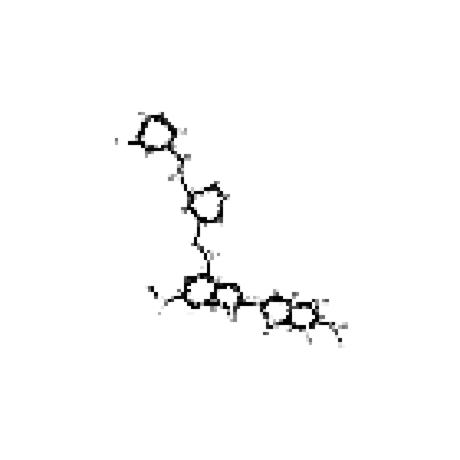 COc1cc(OCc2cccc(OCc3cccc(F)c3)c2)c2cc(-c3cn4nc(OC)sc4n3)oc2c1